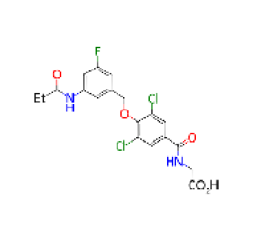 CCC(=O)Nc1cc(F)cc(COc2c(Cl)cc(C(=O)NCC(=O)O)cc2Cl)c1